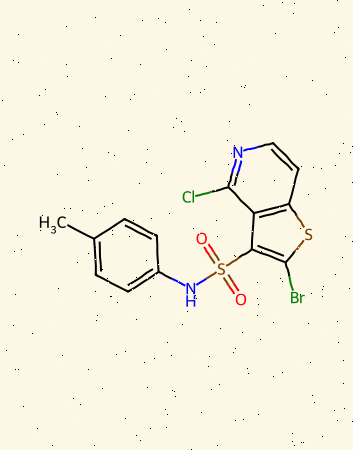 Cc1ccc(NS(=O)(=O)c2c(Br)sc3ccnc(Cl)c23)cc1